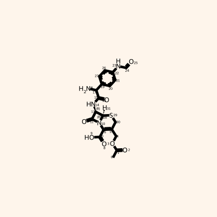 CC(=O)OCC1=C(C(=O)O)N2C(=O)[C@@H](NC(=O)C(N)c3ccc(NC=O)cc3)[C@H]2SC1